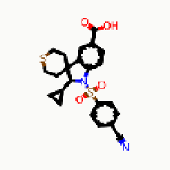 N#Cc1ccc(S(=O)(=O)N2c3ccc(C(=O)O)cc3C3(CCSCC3)C2C2CC2)cc1